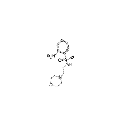 O=[N+]([O-])c1ccccc1S(=O)(=O)NCCN1CCOCC1